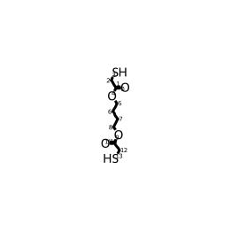 O=C(CS)OCCCCOC(=O)CS